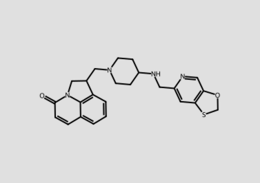 O=c1ccc2cccc3c2n1CC3CN1CCC(NCc2cc3c(cn2)OCS3)CC1